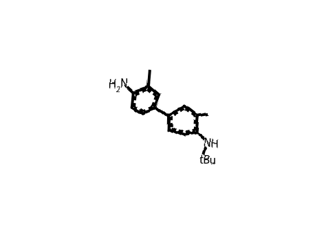 Cc1cc(-c2ccc(NC(C)(C)C)c(C)c2)ccc1N